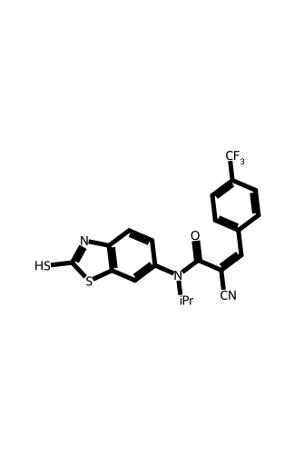 CC(C)N(C(=O)/C(C#N)=C\c1ccc(C(F)(F)F)cc1)c1ccc2nc(S)sc2c1